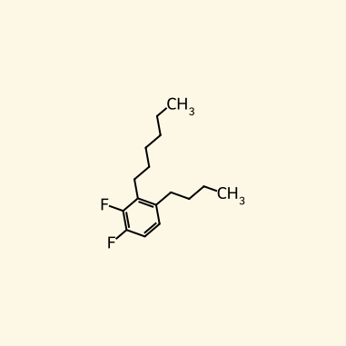 CCCCCCc1c(CCCC)ccc(F)c1F